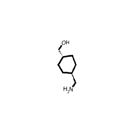 NC[C@H]1CC[C@H](CO)CC1